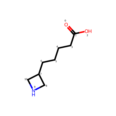 O=C(O)CCCCC1CNC1